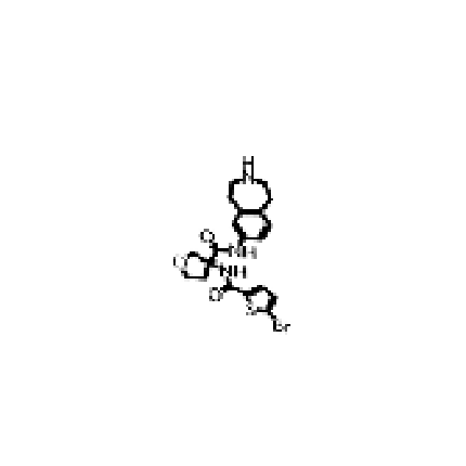 O=C(N[C@@]1(C(=O)Nc2ccc3c(c2)CCNCC3)CCOC1)c1ccc(Br)s1